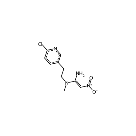 CN(CCc1ccc(Cl)nc1)C(N)=C[N+](=O)[O-]